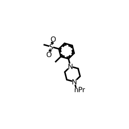 CCCN1CCN(c2cccc(S(C)(=O)=O)c2C)CC1